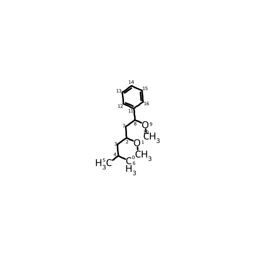 COC(CC(C)C)CC(OC)c1ccccc1